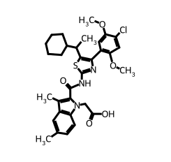 COc1cc(-c2nc(NC(=O)c3c(C)c4cc(C)ccc4n3CC(=O)O)sc2C(C)C2CCCCC2)c(OC)cc1Cl